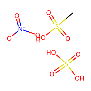 CS(=O)(=O)O.O=S(=O)(O)O.O=[N+]([O-])O